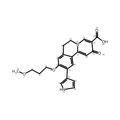 COCCCOc1cc2c(cc1-c1cc[nH]c1)-c1cc(=O)c(C(=O)O)cn1CC2